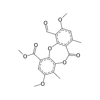 COC(=O)c1cc(OC)c(C)c2c1Oc1c(C=O)c(OC)cc(C)c1C(=O)O2